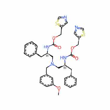 COc1cccc(CN(C[C@@H](Cc2ccccc2)NC(=O)OCc2cncs2)C[C@H](Cc2ccccc2)NC(=O)OCc2cncs2)c1